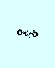 CN(CC(=O)N1CCCCC1)Cc1ccccn1